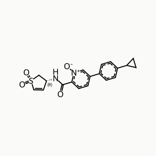 O=C(N[C@@H]1C=CS(=O)(=O)C1)c1ccc(-c2ccc(C3CC3)cc2)c[n+]1[O-]